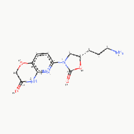 NCCC[C@H]1CN(c2ccc3c(n2)NC(=O)CO3)C(=O)O1